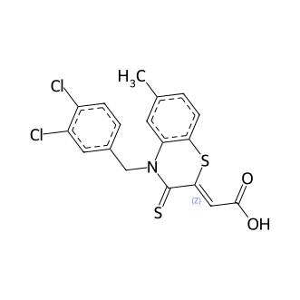 Cc1ccc2c(c1)N(Cc1ccc(Cl)c(Cl)c1)C(=S)/C(=C/C(=O)O)S2